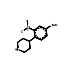 COc1ccc(C2CCNCC2)c([S@+](C)[O-])c1